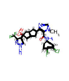 Cn1cnc(C2CC3CC(O)(c4c[nH]nc4C(F)F)CC3C2)c1C(=O)Nc1ccc(F)c(Cl)c1